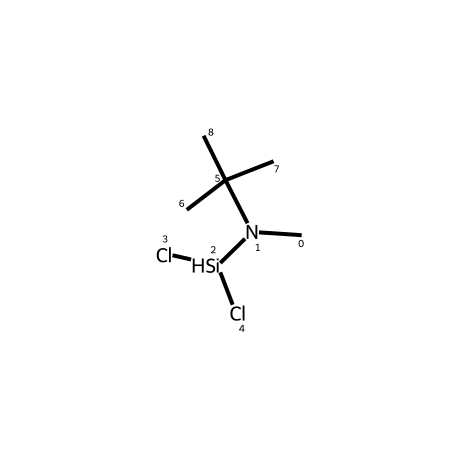 CN([SiH](Cl)Cl)C(C)(C)C